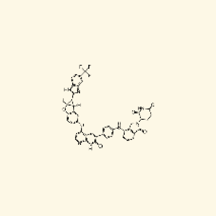 O=C1CCC(N2Cc3c(Bc4ccc(-c5cc6c(Oc7ccc8c(c7)[C@@H]7[C@H](O8)[C@H]7c7nc8cc(C(F)(F)F)ccc8[nH]7)ccnc6[nH]c5=O)cc4)cccc3C2=O)C(=O)N1